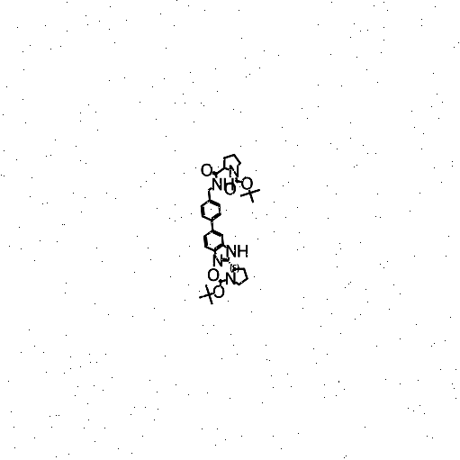 CC(C)(C)OC(=O)N1CCCC1C(=O)NCc1ccc(-c2ccc3nc([C@@H]4CCCN4C(=O)OC(C)(C)C)[nH]c3c2)cc1